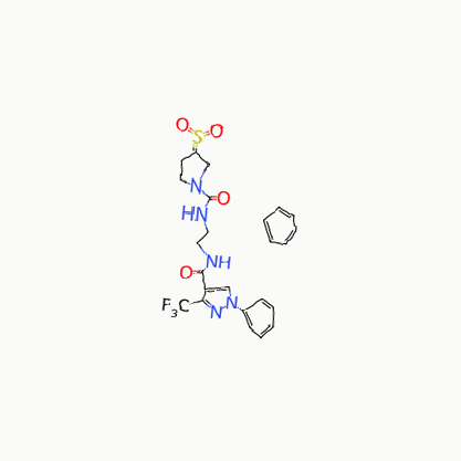 O=C(NCCNC(=O)N1CCC(=S(=O)=O)C1)c1cn(-c2ccccc2)nc1C(F)(F)F.c1ccccc1